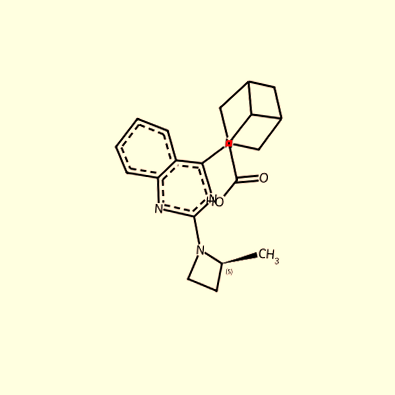 C[C@H]1CCN1c1nc(N2CC3CC(C2)C3CC(=O)O)c2ccccc2n1